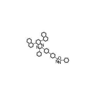 c1ccc(-c2nnc(-c3ccc(-c4ccc(-c5nc6c(-c7cccc8ccccc78)ccc(-c7cccc8ccccc78)c6nc5-c5ccccc5)cc4)cc3)o2)cc1